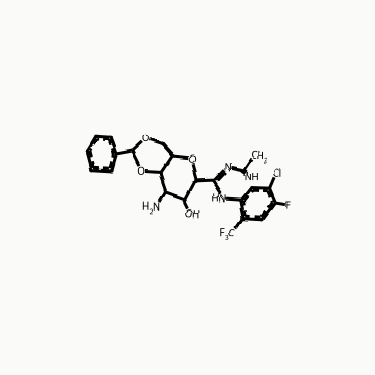 CC(=N)/N=C(\Nc1cc(Cl)c(F)cc1C(F)(F)F)C1OC2COC(c3ccccc3)OC2C(N)C1O